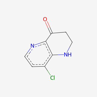 O=C1CCNc2c(Cl)ccnc21